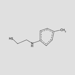 Cc1ccc(NCCS)cc1